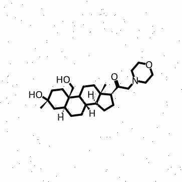 C[C@@]1(O)CC[C@]2(CO)C3CC[C@]4(C)[C@@H](C(=O)CN5CCOCC5)CC[C@H]4[C@@H]3CC[C@H]2C1